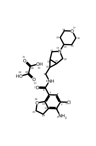 Nc1c(Cl)cc(C(=O)NCC2C3CN(C4CCOCC4)CC23)c2c1CCO2.O=C(O)C(=O)O